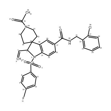 C=CC1N(S(=O)(=O)c2ccc(F)cc2)c2ccc(C(=O)NCc3ccccc3Cl)cc2C12CCN(C(C)=O)CC2